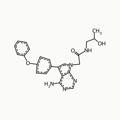 CC(O)CNC(=O)Cn1cc(-c2ccc(Oc3ccccc3)cc2)c2c(N)ncnc21